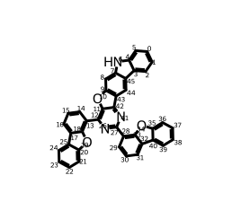 c1ccc2c(c1)[nH]c1cc3oc4c(-c5cccc6c5oc5ccccc56)nc(-c5cccc6c5oc5ccccc56)nc4c3cc12